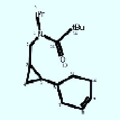 CC(C)N(CC1CC1C1CC=CCC1)C(=O)C(C)(C)C